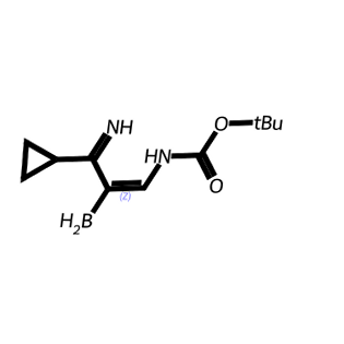 B/C(=C/NC(=O)OC(C)(C)C)C(=N)C1CC1